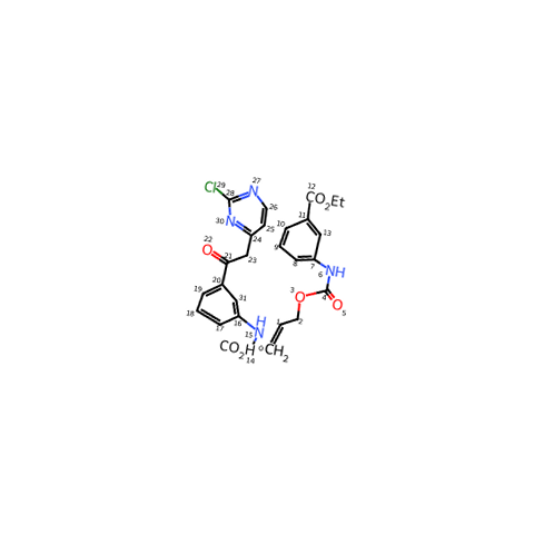 C=CCOC(=O)Nc1cccc(C(=O)OCC)c1.O=C(O)Nc1cccc(C(=O)Cc2ccnc(Cl)n2)c1